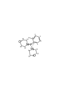 Cc1ccccc1P(N1CCOCC1)N1CCOCC1